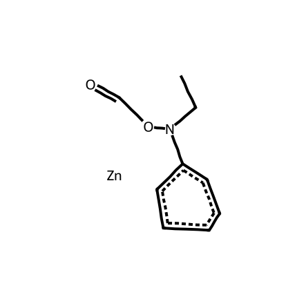 CCN(OC=O)c1ccccc1.[Zn]